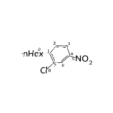 CCCCC[CH]c1ccc([N+](=O)[O-])cc1Cl